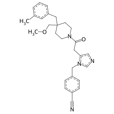 COCC1(Cc2cccc(C)c2)CCN(C(=O)Cc2cncn2Cc2ccc(C#N)cc2)CC1